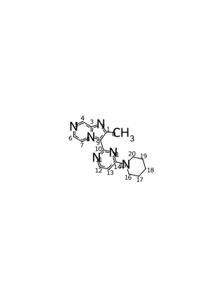 Cc1nc2cnccn2c1-c1nccc(N2CCCCC2)n1